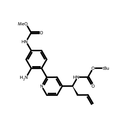 C=CC[C@H](NC(=O)OC(C)(C)C)c1ccnc(-c2ccc(NC(=O)OC)cc2N)c1